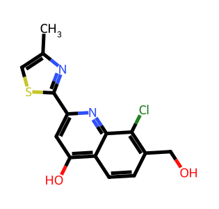 Cc1csc(-c2cc(O)c3ccc(CO)c(Cl)c3n2)n1